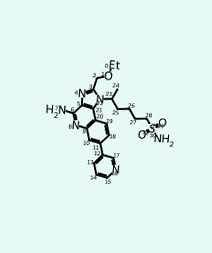 CCOCc1nc2c(N)nc3cc(-c4cccnc4)ccc3c2n1C(C)CCCCS(N)(=O)=O